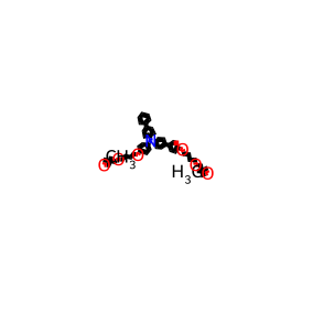 CC1(COCCCCOc2ccc(-c3ccc(N(c4ccc(OCCCCOCC5(C)COC5)cc4)c4ccc(-c5ccccc5)cc4)cc3)cc2)COC1